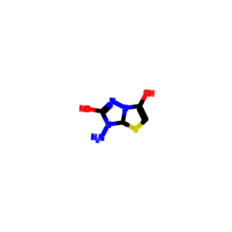 NN1C(O)=NN2C(O)=CSC12